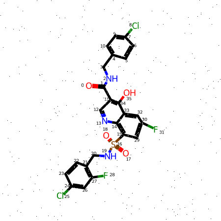 O=C(NCc1ccc(Cl)cc1)c1cnc2c(S(=O)(=O)NCc3ccc(Cl)cc3F)cc(F)cc2c1O